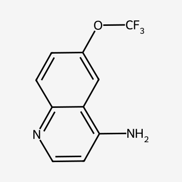 Nc1ccnc2ccc(OC(F)(F)F)cc12